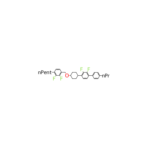 CCCCCc1ccc(COC2CCC(c3ccc(-c4ccc(CCC)cc4)c(F)c3F)CC2)c(F)c1F